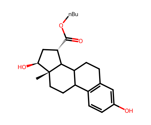 CCCCOC(=O)[C@H]1C[C@H](O)[C@@]2(C)CCC3c4ccc(O)cc4CCC3C12